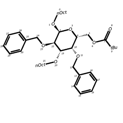 CCCCCCCCO[C@H]1O[C@H](COC(=O)C(C)(C)C)[C@H](OCc2ccccc2)[C@H](OCCCCCCCC)[C@H]1OCc1ccccc1